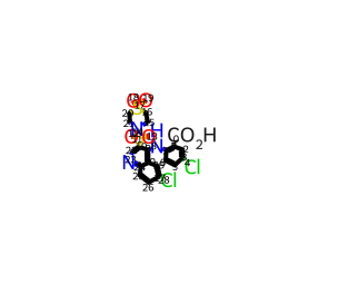 O=C(O)c1cc(Cl)ccc1Nc1c(S(=O)(=O)N2CCS(=O)(=O)CC2)cnc2ccc(Cl)cc12